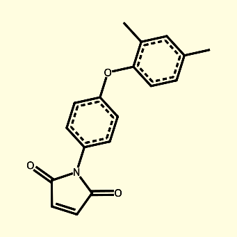 Cc1ccc(Oc2ccc(N3C(=O)C=CC3=O)cc2)c(C)c1